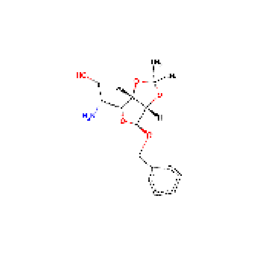 CC1(C)O[C@@H]2[C@H](O1)[C@@H](OCc1ccccc1)O[C@@H]2[C@H](N)CO